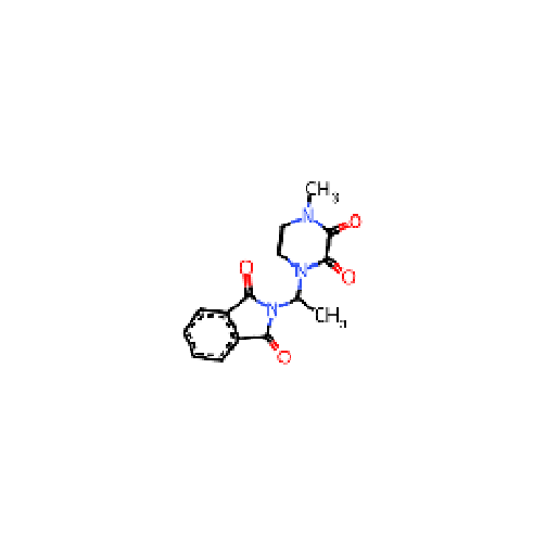 CC(N1CCN(C)C(=O)C1=O)N1C(=O)c2ccccc2C1=O